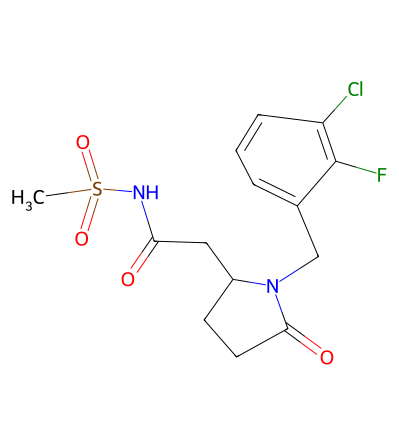 CS(=O)(=O)NC(=O)CC1CCC(=O)N1Cc1cccc(Cl)c1F